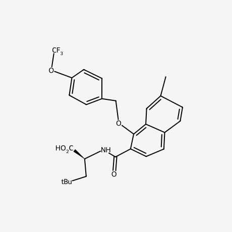 Cc1ccc2ccc(C(=O)N[C@@H](CC(C)(C)C)C(=O)O)c(OCc3ccc(OC(F)(F)F)cc3)c2c1